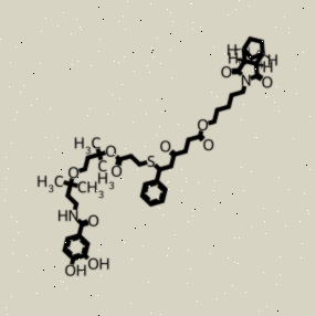 CC(C)(CCNC(=O)c1ccc(O)c(O)c1)OCCC(C)(C)OC(=O)CCSC(CC(=O)CCC(=O)OCCCCCN1C(=O)[C@@H]2[C@H]3CC[C@H](C3)[C@@H]2C1=O)c1ccccc1